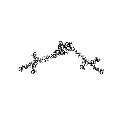 Oc1cc(OCCCCCCCCC(CCC(CCCOCC2CO2)OCC2CO2)OCC2CO2)ccc1-c1nc(Cl)nc(-c2ccc(OCCCCCCCCC(CCC(CCCOCC3CO3)OCC3CO3)OCC3CO3)cc2O)n1